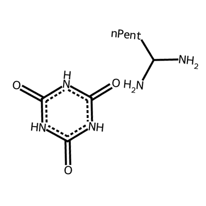 CCCCCC(N)N.O=c1[nH]c(=O)[nH]c(=O)[nH]1